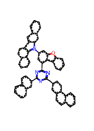 c1ccc2cc(-c3nc(-c4ccc5c(ccc6ccccc65)c4)nc(-c4cc(-n5c6cc7ccccc7cc6c6ccc7ccccc7c65)cc5oc6ccccc6c45)n3)ccc2c1